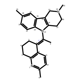 C/C(=C1/CCCc2nc(C)ccc21)n1c2c(c3cc(C)ccc31)CN(C)CC2